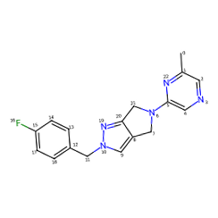 Cc1cncc(N2Cc3cn(Cc4ccc(F)cc4)nc3C2)n1